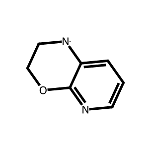 c1cnc2c(c1)[N]CCO2